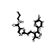 CCCNC(=O)c1cnc(C=Cc2c(-c3ccc(F)cn3)noc2C)s1